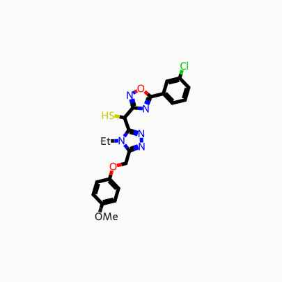 CCn1c(COc2ccc(OC)cc2)nnc1C(S)c1noc(-c2cccc(Cl)c2)n1